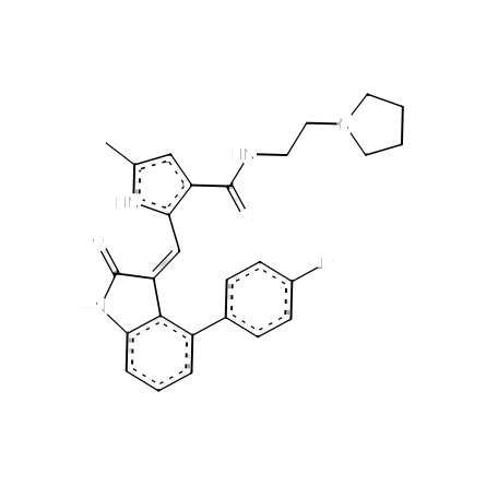 Cc1cc(C(=O)NCCN2CCCC2)c(C=C2C(=O)Nc3cccc(-c4ccc(Br)cc4)c32)[nH]1